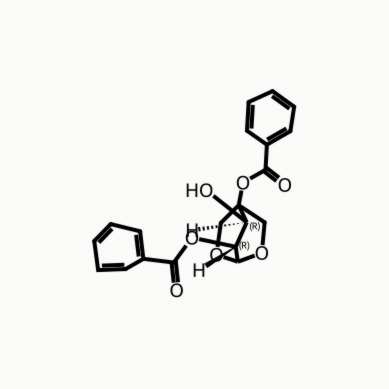 O=C(O[C@H]1C2OCC(OC(=O)c3ccccc3)(CO2)[C@@H]1O)c1ccccc1